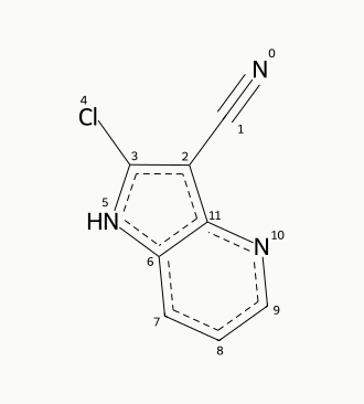 N#Cc1c(Cl)[nH]c2cccnc12